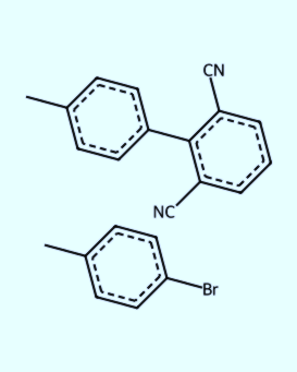 Cc1ccc(-c2c(C#N)cccc2C#N)cc1.Cc1ccc(Br)cc1